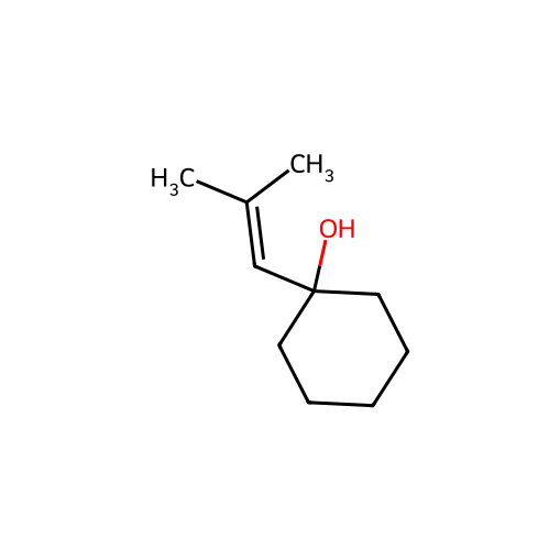 CC(C)=CC1(O)CCCCC1